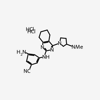 CNC1CCN(c2nc(Nc3cc(N)cc(C#N)c3)nc3c2CCCC3)C1.Cl.Cl